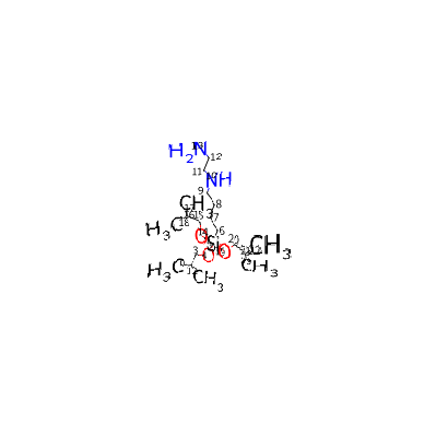 CC(C)CO[Si](CCCCNCCN)(OCC(C)C)OCC(C)C